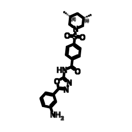 C[C@@H]1C[C@H](C)CN(S(=O)(=O)c2ccc(C(=O)Nc3nnc(-c4cccc(N)c4)o3)cc2)C1